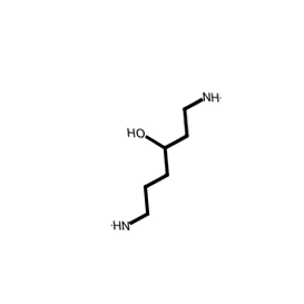 [NH]CCCC(O)CC[NH]